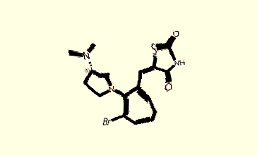 CN(C)[C@H]1CCN(c2c(Br)cccc2C=C2SC(=O)NC2=O)C1